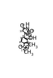 CCS(=O)(=O)c1ccc(N2CC(=O)NS2(=O)=O)c(O)c1C